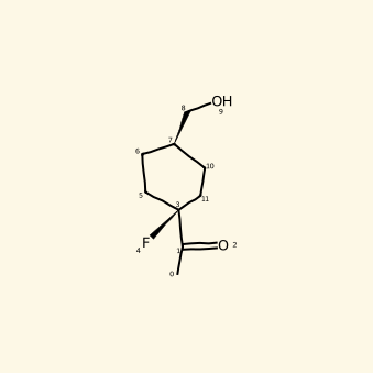 CC(=O)[C@]1(F)CC[C@@H](CO)CC1